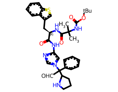 CC(C)(C)OC(=O)NC(C)(C)C(=O)N[C@H](Cc1csc2ccccc12)C(=O)Nc1cn(C(C=O)(c2ccccc2)C2CCCN2)cn1